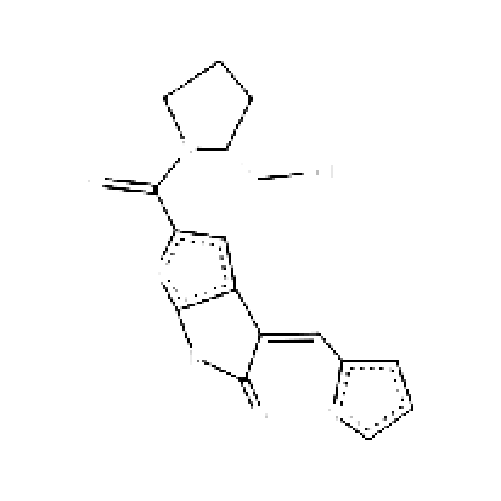 O=C1Nc2sc(C(=O)N3CCC[C@@H]3CO)cc2C1=Cc1ccc[nH]1